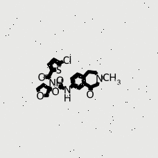 CN1CCc2ccc(NC(=O)OC3(NC(=O)c4ccc(Cl)s4)CCOC3)cc2C(=O)C1